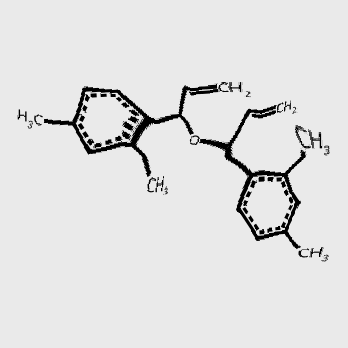 C=CC(OC(C=C)c1ccc(C)cc1C)c1ccc(C)cc1C